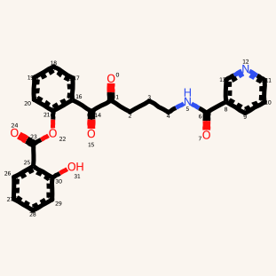 O=C(CCCNC(=O)c1cccnc1)C(=O)c1ccccc1OC(=O)c1ccccc1O